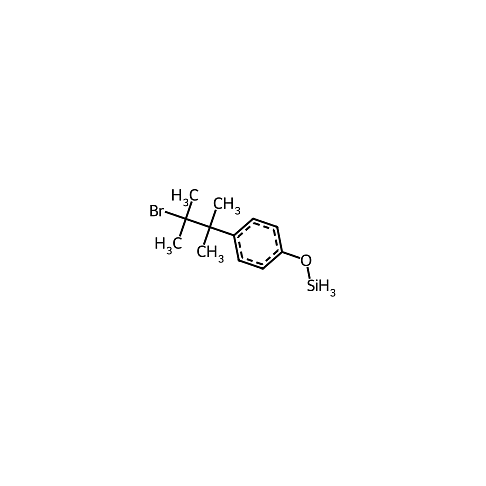 CC(C)(Br)C(C)(C)c1ccc(O[SiH3])cc1